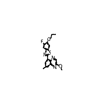 CCCOc1cc2sc(-c3cc(C)cc4nc(OC)cnc34)nc2cc1F